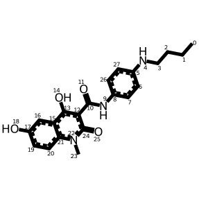 CCCCNc1ccc(NC(=O)c2c(O)c3cc(O)ccc3n(C)c2=O)cc1